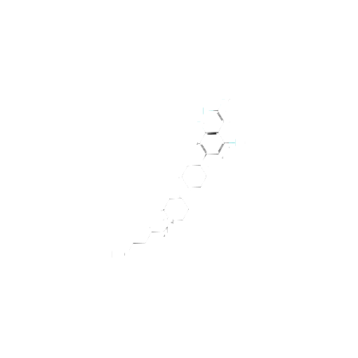 CCCCC[SiH]1CCC([C@H]2CC[C@H](c3cc(F)c(C=C(F)F)c(F)c3)CC2)CC1